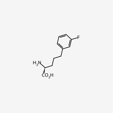 N[C@@H](CCCc1cccc(F)c1)C(=O)O